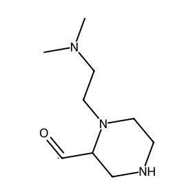 CN(C)CCN1CCNCC1[C]=O